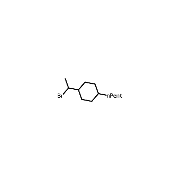 CCCCCC1CCC(C(C)Br)CC1